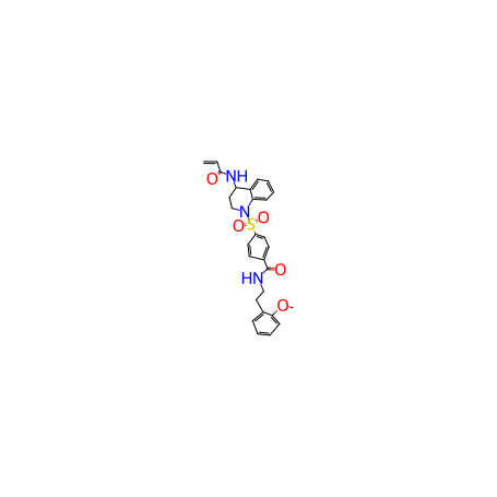 C=CC(=O)NC1CCN(S(=O)(=O)c2ccc(C(=O)NCCc3ccccc3OC)cc2)c2ccccc21